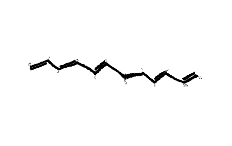 C=CC=CC=CCCC=CC=C